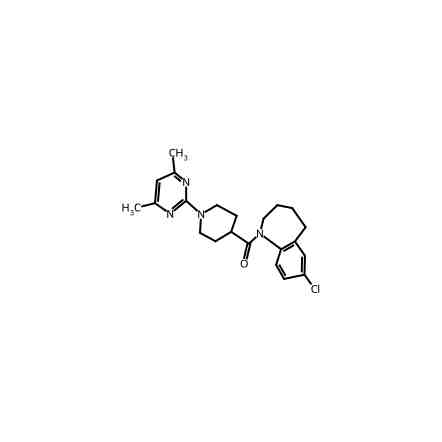 Cc1cc(C)nc(N2CCC(C(=O)N3CCCCc4cc(Cl)ccc43)CC2)n1